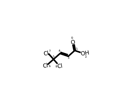 O=C(O)/C=C/C(Cl)(Cl)Cl